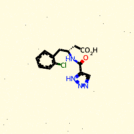 O=C(O)C[C@@H](Cc1ccccc1Cl)NC(=O)c1cnn[nH]1